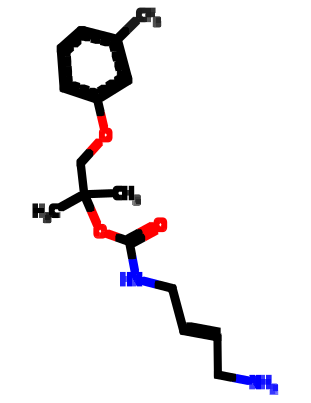 CC(C)(COc1cccc(C(F)(F)F)c1)OC(=O)NC/C=C/CN